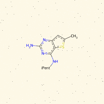 CCCC(C)Nc1nc(N)nc2cc(C)sc12